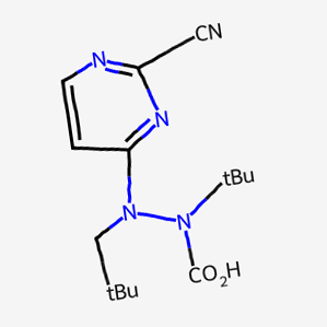 CC(C)(C)CN(c1ccnc(C#N)n1)N(C(=O)O)C(C)(C)C